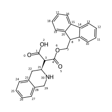 O=C(O)C(C(=O)OCC1c2ccccc2-c2ccccc21)[C@@H]1Cc2ccccc2CN1